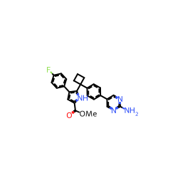 COC(=O)c1cc(-c2ccc(F)cc2)c(C2(c3ccc(-c4cnc(N)nc4)cc3)CCC2)[nH]1